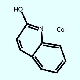 Oc1ccc2ccccc2n1.[Co]